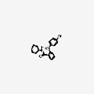 O=C(NC1CCCCC1)c1ccccc1Nc1ccc(O)cc1